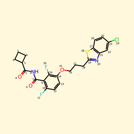 O=C(NC(=O)C1CCC1)c1c(F)ccc(OCCCc2nc3cc(Cl)ccc3s2)c1F